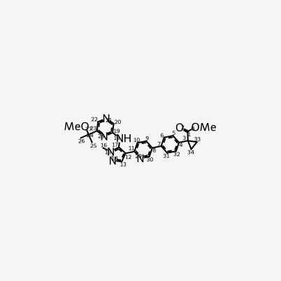 COC(=O)C1(c2ccc(-c3ccc(-c4cnn(C)c4Nc4cncc(C(C)(C)OC)n4)nc3)cc2)CC1